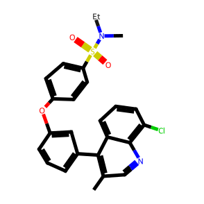 CCN(C)S(=O)(=O)c1ccc(Oc2cccc(-c3c(C)cnc4c(Cl)cccc34)c2)cc1